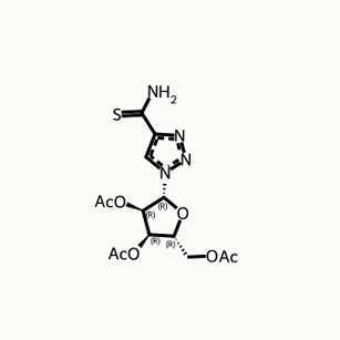 CC(=O)OC[C@H]1O[C@@H](n2cc(C(N)=S)nn2)[C@H](OC(C)=O)[C@@H]1OC(C)=O